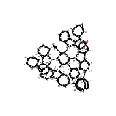 N#Cc1c(-n2c3ccccc3c3ccccc32)c(-n2c3cc(-c4ccccc4)ccc3c3ccc(-c4ccccc4)cc32)c(-c2ccccc2)c(-n2c3cc(-c4ccccc4)ccc3c3ccc(-c4ccccc4)cc32)c1-n1c2ccccc2c2ccccc21